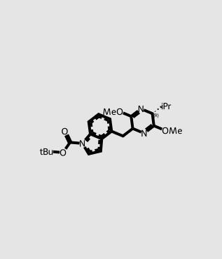 COC1=N[C@H](C(C)C)C(OC)=NC1Cc1cccc2c1ccn2C(=O)OC(C)(C)C